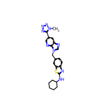 Cn1nnnc1-c1cnc2c(c1)ncn2Cc1ccc2nc(NC3CCCCC3)sc2c1